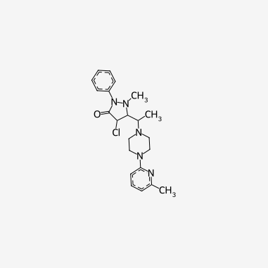 Cc1cccc(N2CCN(C(C)C3C(Cl)C(=O)N(c4ccccc4)N3C)CC2)n1